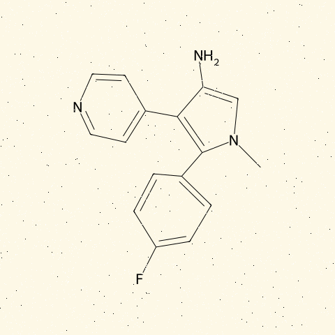 Cn1cc(N)c(-c2ccncc2)c1-c1ccc(F)cc1